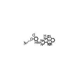 COc1ccc(Nc2ncc3c(=N)n(-c4c(Cl)cccc4Cl)c(=O)[nH]c3n2)cc1OCCCN(C)C